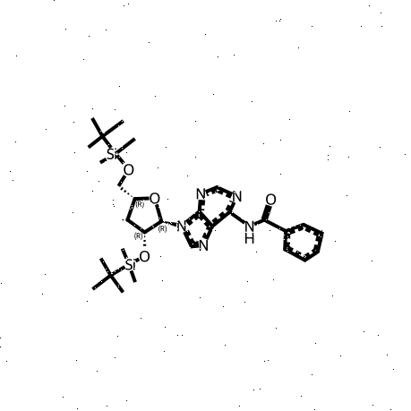 CC(C)(C)[Si](C)(C)OC[C@H]1[CH][C@@H](O[Si](C)(C)C(C)(C)C)[C@H](n2cnc3c(NC(=O)c4ccccc4)ncnc32)O1